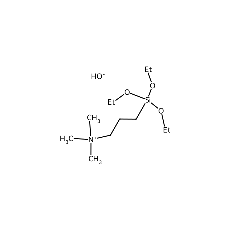 CCO[Si](CCC[N+](C)(C)C)(OCC)OCC.[OH-]